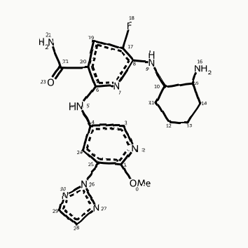 COc1ncc(Nc2nc(NC3CCCCC3N)c(F)cc2C(N)=O)cc1-n1nccn1